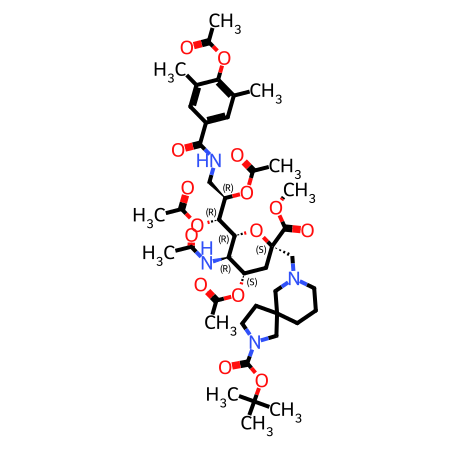 COC(=O)[C@@]1(CN2CCCC3(CCN(C(=O)OC(C)(C)C)C3)C2)C[C@H](OC(C)=O)[C@@H](NC(C)=O)[C@H]([C@H](OC(C)=O)[C@@H](CNC(=O)c2cc(C)c(OC(C)=O)c(C)c2)OC(C)=O)O1